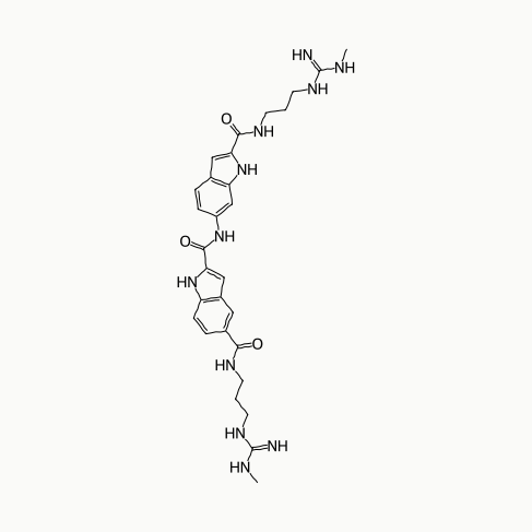 CNC(=N)NCCCNC(=O)c1ccc2[nH]c(C(=O)Nc3ccc4cc(C(=O)NCCCNC(=N)NC)[nH]c4c3)cc2c1